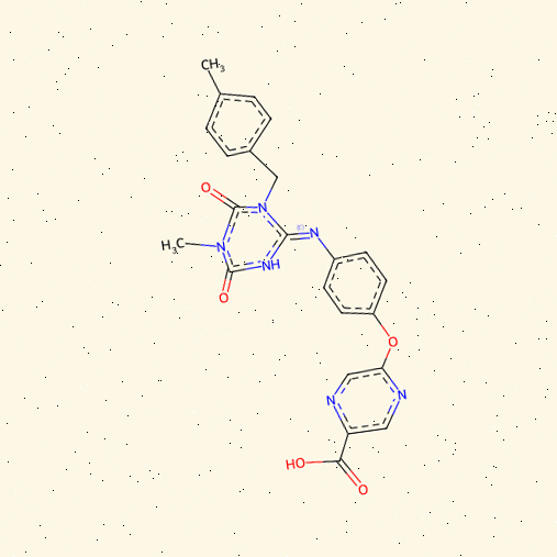 Cc1ccc(Cn2c(=O)n(C)c(=O)[nH]/c2=N\c2ccc(Oc3cnc(C(=O)O)cn3)cc2)cc1